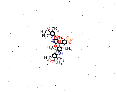 COc1cc(Nc2c(C)cc(C)c(C(C)=O)c2C)ccc1C(c1ccc(Nc2c(C)cc(C)c(C(C)=O)c2C)cc1OC)c1ccc(S(=O)(=O)O)cc1S(=O)(=O)O